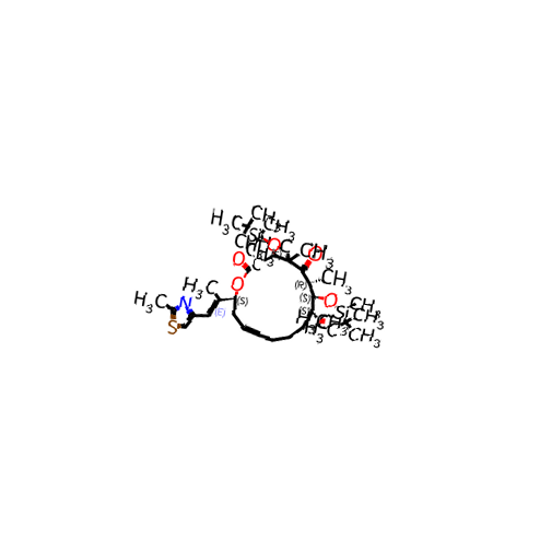 C/C(=C\c1csc(C)n1)[C@@H]1CC=CCCC[C@H](C)[C@H](O[Si](C)(C)C(C)(C)C)[C@@H](C)C(=O)C(C)(C)[C@@H](O[Si](C)(C)C(C)(C)C)CC(=O)O1